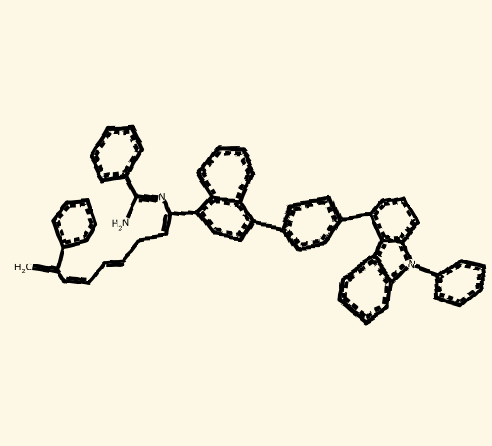 C=C(/C=C\C=C\C/C=C(\N=C(/N)c1ccccc1)c1ccc(-c2ccc(-c3cccc4c3c3ccccc3n4-c3ccccc3)cc2)c2ccccc12)c1ccccc1